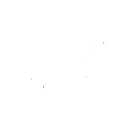 COc1cc2c(cc1OSOON)CCC1C2CC[C@]2(C)C(=O)NC(=O)CC12